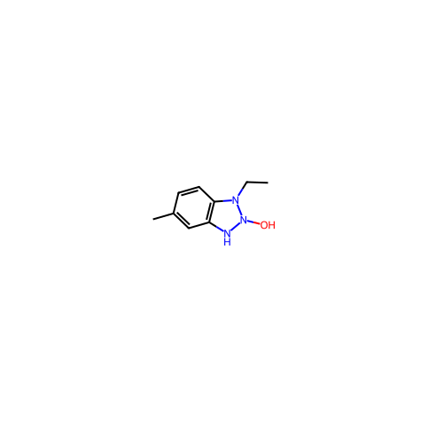 CCN1c2ccc(C)cc2NN1O